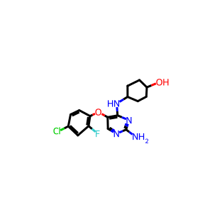 Nc1ncc(Oc2ccc(Cl)cc2F)c(NC2CCC(O)CC2)n1